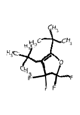 CC(C)(C)C1=C(C(C)(C)C)C(F)(F)C(F)(F)O1